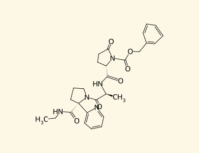 CCNC(=O)[C@]1(c2ccccn2)CCCN1C(=O)[C@H](C)NC(=O)[C@@H]1CCC(=O)N1C(=O)OCc1ccccc1